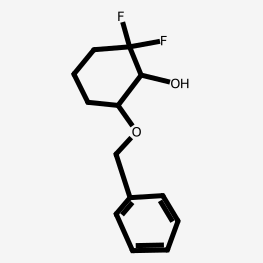 OC1C(OCc2ccccc2)CCCC1(F)F